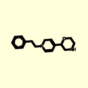 C1=CN(CCc2ccccc2)CC=C1C1CNCCO1